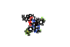 CC(C)(C)OC(=O)N1C[C@H]2C[C@H]2[C@@H]1C(=O)N(c1ccc(S(F)(F)(F)(F)F)cc1)C(C(=O)NC1CCC(F)(F)CC1)c1cncc(F)c1